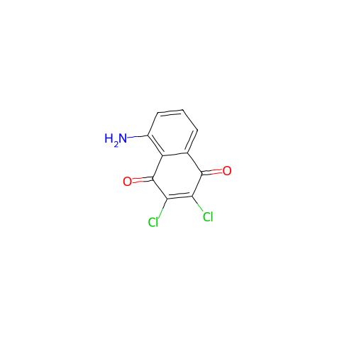 Nc1cccc2c1C(=O)C(Cl)=C(Cl)C2=O